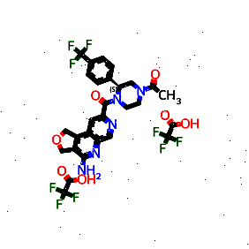 CC(=O)N1CCN(C(=O)c2cc3c4c(c(N)nc3cn2)COC4)[C@@H](c2ccc(C(F)(F)F)cc2)C1.O=C(O)C(F)(F)F.O=C(O)C(F)(F)F